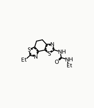 CCNC(=O)Nc1nc2c(s1)-c1nc(CC)sc1CC2